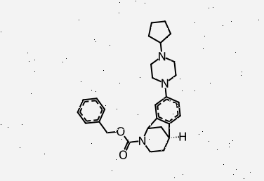 O=C(OCc1ccccc1)N1CC[C@H]2CC1c1cc(N3CCN(C4CCCC4)CC3)ccc12